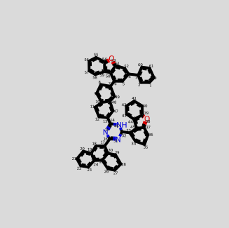 c1ccc(-c2cc(-c3ccc4ccc(C5=NC(c6cc7ccccc7c7ccccc67)=NC(c6cccc7oc8ccccc8c67)N5)cc4c3)c3c(c2)oc2ccccc23)cc1